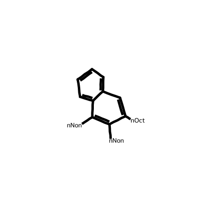 CCCCCCCCCc1c(CCCCCCCC)cc2ccccc2c1CCCCCCCCC